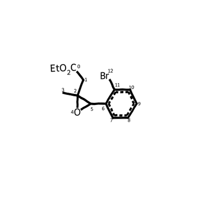 CCOC(=O)CC1(C)OC1c1ccccc1Br